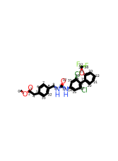 COC(=O)Cc1ccc(CNC(=O)Nc2cc(Cl)c(-c3ccccc3OC(F)F)c(Cl)c2)cc1